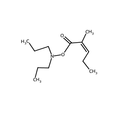 CCC=C(C)C(=O)ON(CCC)CCC